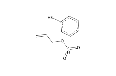 C=CCO[SH](=O)=O.Sc1ccccc1